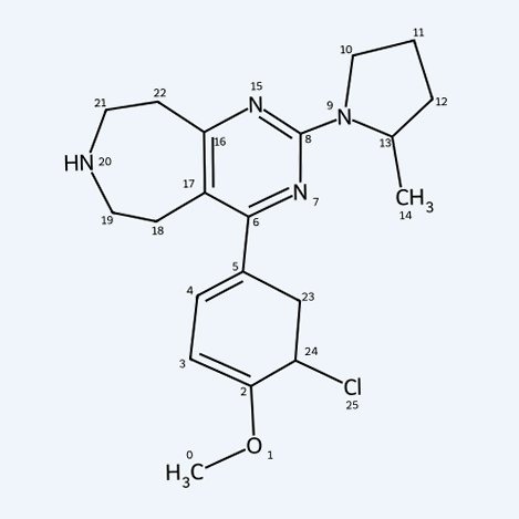 COC1=CC=C(c2nc(N3CCCC3C)nc3c2CCNCC3)CC1Cl